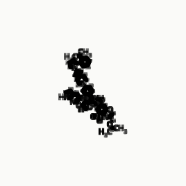 CC(C)OC[C@H]1COc2cc(S(=O)(=O)NC(=O)c3ccc(N4CCC5(CC4)CC(N4CCC[C@H]4c4ccccc4C(C)C)C5)cc3N3c4cc5cc[nH]c5nc4O[C@@H]4COC[C@H]43)cc([N+](=O)[O-])c2N1